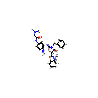 CCNc1ccc(NC(=O)CN(C)C)cc1/N=C1\S/C(=C2\Sc3ccccc3N2C)C(=O)N1Cc1ccccc1